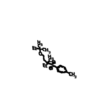 CCC(C)(C)OCCC(C)(CC)S(=O)(=O)c1ccc(C)cc1